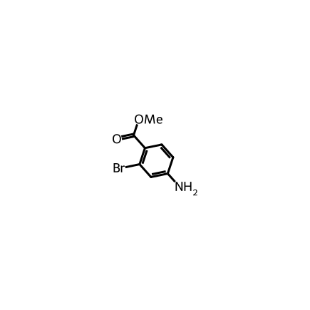 COC(=O)c1ccc(N)cc1Br